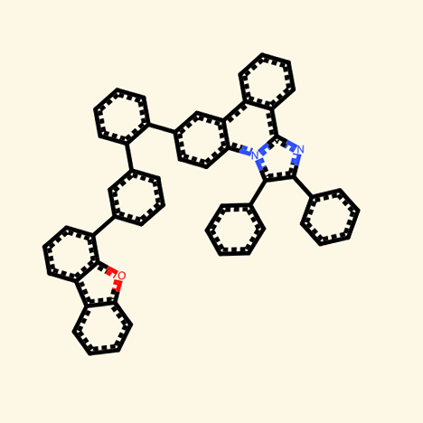 c1ccc(-c2nc3c4ccccc4c4cc(-c5ccccc5-c5cccc(-c6cccc7c6oc6ccccc67)c5)ccc4n3c2-c2ccccc2)cc1